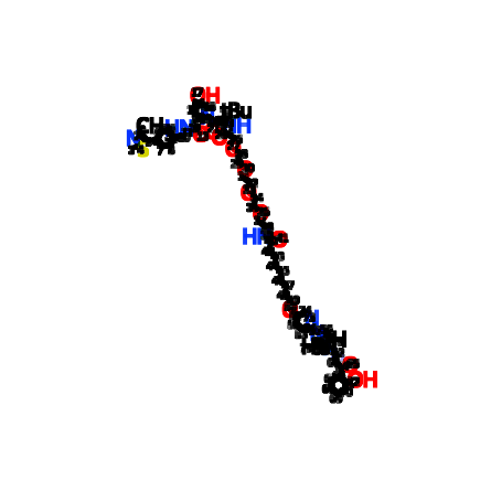 Cc1ncsc1-c1ccc(CNC(=O)[C@@H]2C[C@@H](O)CN2C(=O)[C@@H](NC(=O)COCCOCCOCCOCCNC(=O)CCCCCCCCOc2ccc(N3C[C@H]4C[C@@H]3CN4/C=C/C(=O)c3ccccc3O)nc2)C(C)(C)C)cc1